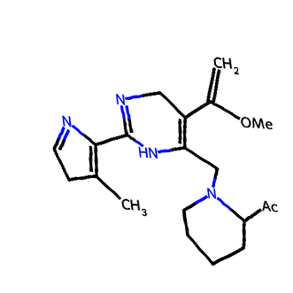 C=C(OC)C1=C(CN2CCCCC2C(C)=O)NC(C2=C(C)CC=N2)=NC1